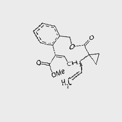 C=CCC1(C(=O)OCc2ccccc2C(=CC)C(=O)OC)CC1